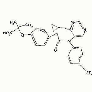 CC(C)(Oc1ccc(CC(=O)N(c2ccc(C(F)(F)F)cc2)c2cncnc2C2CC2)cc1)C(=O)O